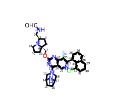 O=CNC[C@H]1CC[C@@]2(COc3nc(N4CC5CCC(C4)N5)c4cnc(-c5cccc6cccc(Cl)c56)c(F)c4n3)CCCN12